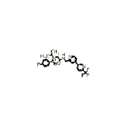 CC(C)N(CC(=O)NCc1cc(-c2ccc(C(F)(F)F)nc2)ccn1)[S+]([O-])c1ccc(F)cc1